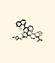 C=C(F)C(=O)N1CCN(c2nc(OC3CN(C)C3)nc3cc(-c4cccc5cccc(Cl)c45)c4c(c23)OCCC4)C[C@@H]1CC#N